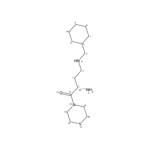 N[C@@H](CCNCC1CCCCC1)C(=O)N1CCSCC1